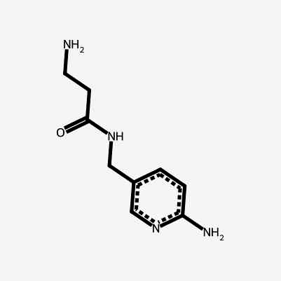 NCCC(=O)NCc1ccc(N)nc1